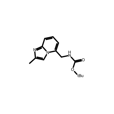 Cc1cn2c(CNC(=O)OC(C)(C)C)cccc2n1